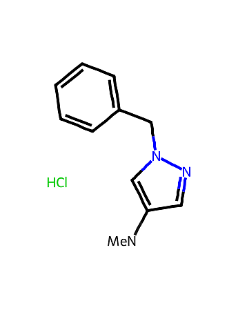 CNc1cnn(Cc2ccccc2)c1.Cl